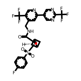 O=C(NCc1cc(-c2cnc(C(F)(F)F)nc2)ncc1C(F)(F)F)[C@@H]1C2CC(C2)N1S(=O)(=O)c1ccc(F)cc1